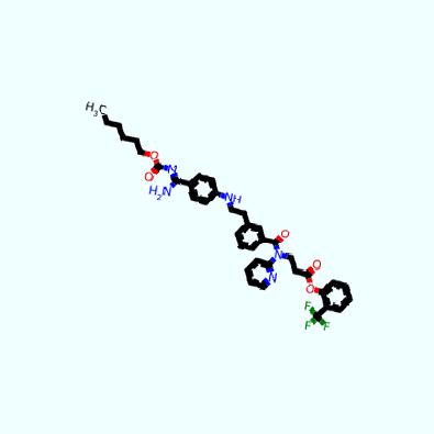 CCCCCCOC(=O)/N=C(\N)c1ccc(NCCc2cccc(C(=O)N(CCC(=O)Oc3ccccc3C(F)(F)F)c3ccccn3)c2)cc1